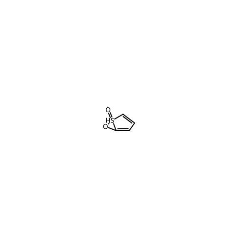 O=[SH]12C=CC=C1O2